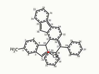 CC1=Cc2cc(C)ccc2C1c1c2c(ccc1=C(c1ccccc1)c1ccccc1)=c1ccccc1=[C]2